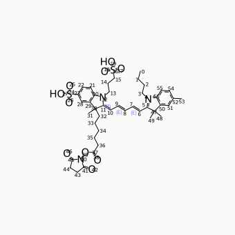 CCCC[N+]1=C(/C=C/C=C/C=C2\N(CCCS(=O)(=O)O)c3ccc(S(=O)(=O)O)cc3C2(C)CCCCCC(=O)ON2C(=O)CCC2=O)C(C)(C)c2cc(C)ccc21